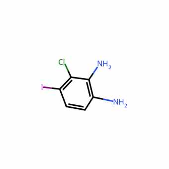 Nc1ccc(I)c(Cl)c1N